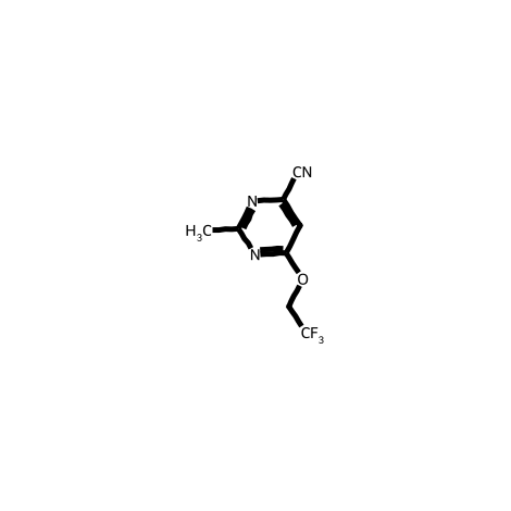 Cc1nc(C#N)cc(OCC(F)(F)F)n1